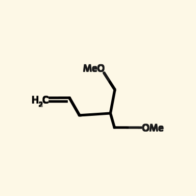 C=CCC(COC)COC